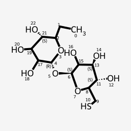 CCC1O[C@H](O[C@@H]2OC(CS)[C@@H](O)[C@H](O)C2O)C(O)C(O)[C@@H]1O